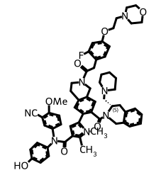 COc1ccc(N(C(=O)c2cc(-c3cc4c(cc3C(=O)N3Cc5ccccc5C[C@H]3CN3CCCCC3)CN(C(=O)Cc3ccc(OCCN5CCOCC5)cc3F)CC4)n(C)c2C)c2ccc(O)cc2)cc1C#N